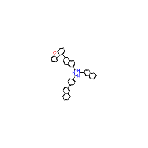 C1=CC2Oc3ccccc3C2C(c2ccc3cc(-c4nc(-c5ccc(-c6ccc7ccccc7c6)cc5)nc(-c5ccc6ccccc6c5)n4)ccc3c2)=C1